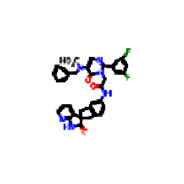 O=C(Cn1c(-c2cc(F)cc(F)c2)ncc(N(Cc2ccccc2)C(=O)O)c1=O)Nc1ccc2c(c1)CC1(C2)C(=O)Nc2ncccc21